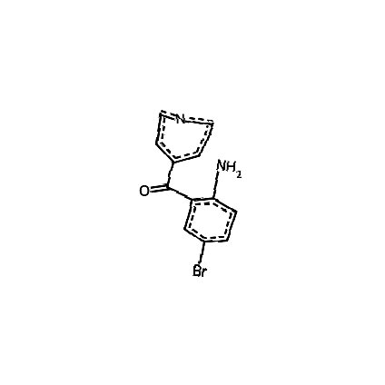 Nc1ccc(Br)cc1C(=O)c1ccncc1